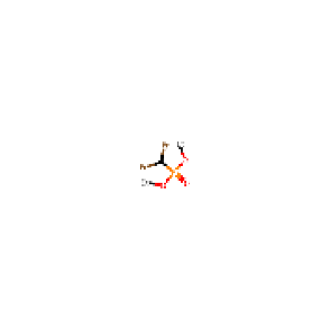 CCOP(=O)(OCC)C(Br)Br